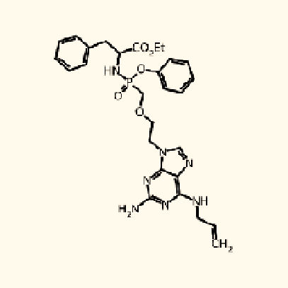 C=CCNc1nc(N)nc2c1ncn2CCOCP(=O)(N[C@@H](Cc1ccccc1)C(=O)OCC)Oc1ccccc1